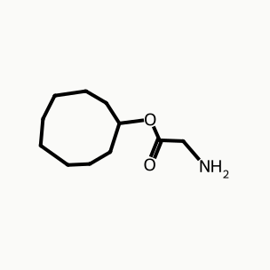 NCC(=O)OC1CCCCCCCC1